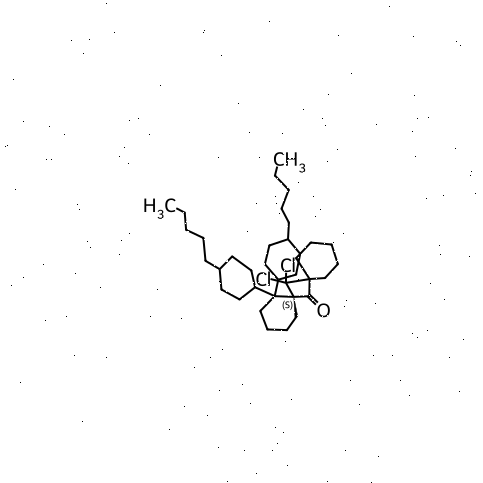 CCCCCC1CCC(C2(C3CCC(CCCCC)CC3)CCCC[C@@]23C(=O)C2(CCCCC2)C3(Cl)Cl)CC1